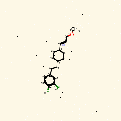 COC/C=C/[C@H]1CC[C@H](CCc2ccc(F)c(F)c2)CC1